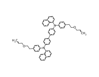 C=CCOCCc1ccc(N(c2ccc(-c3ccc(N(c4ccc(CCOCC=C)cc4)c4cccc5ccccc45)cc3)cc2)c2cccc3ccccc23)cc1